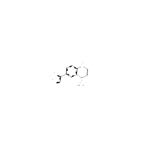 CC(=O)N1c2ccc(-c3c[nH]nn3)cc2[C@H](N(C(=O)O)C(C)C)C[C@@H]1C